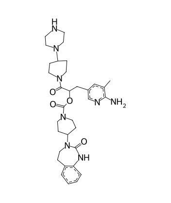 Cc1cc(CC(OC(=O)N2CCC(N3CCc4ccccc4NC3=O)CC2)C(=O)N2CCC(N3CCNCC3)CC2)cnc1N